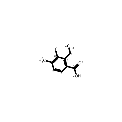 CCc1c(C(=O)O)ccc(C)c1I